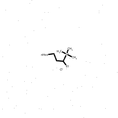 CCCCCCCCC(CC)[N+](C)(C)C.[Cl-]